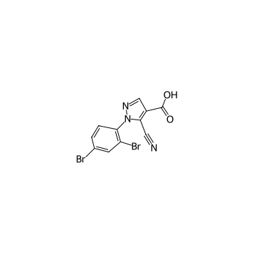 N#Cc1c(C(=O)O)cnn1-c1ccc(Br)cc1Br